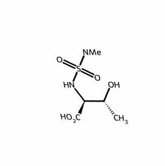 CNS(=O)(=O)N[C@H](C(=O)O)[C@@H](C)O